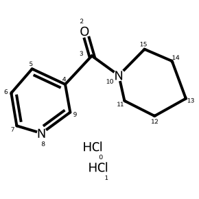 Cl.Cl.O=C(c1cccnc1)N1CCCCC1